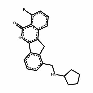 O=c1[nH]c2c(c3cccc(F)c13)Cc1c(CNC3CCCC3)cccc1-2